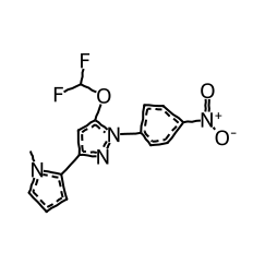 Cn1cccc1-c1cc(OC(F)F)n(-c2ccc([N+](=O)[O-])cc2)n1